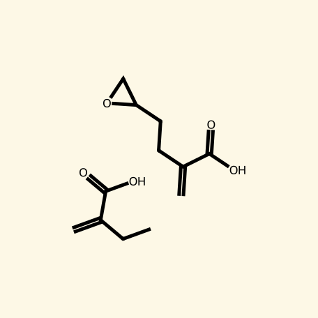 C=C(CC)C(=O)O.C=C(CCC1CO1)C(=O)O